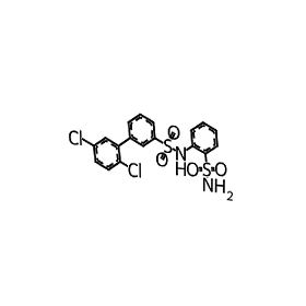 NS(=O)(=O)c1ccccc1NS(=O)(=O)c1cccc(-c2cc(Cl)ccc2Cl)c1